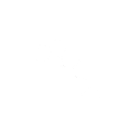 C=C(C)C(=O)ONC(=O)Nc1cccc2ccccc12